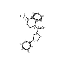 CN1CCN(C(=O)N2CCC(c3cccnc3)C2)c2ccccc21